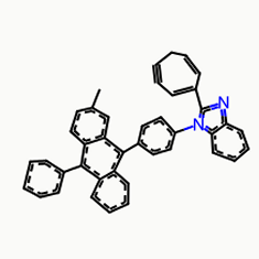 Cc1ccc2c(-c3ccccc3)c3ccccc3c(-c3ccc(-n4c(C5=CC#CCC=C5)nc5ccccc54)cc3)c2c1